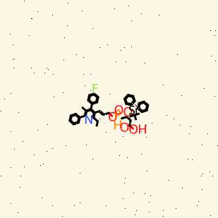 CCc1nc(-c2ccccc2)c(C)c(-c2ccc(F)cc2)c1C=CCO[PH](=O)CC(CC(=O)O)O[Si](c1ccccc1)(c1ccccc1)C(C)(C)C